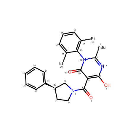 CCCCc1nc(O)c(C(=O)N2CC[C@@H](c3ccccc3)C2)c(=O)n1-c1c(CC)cccc1CC